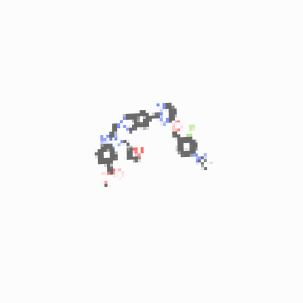 [C-]#[N+]c1ccc(COc2ccnc(C3=CC4CN(Cc5nc6ccc(C(=O)OC)cc6n5C[C@@H]5CCO5)CC4C3)n2)c(F)c1